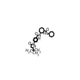 CC(C)(C)C1=NN(c2ccc(C(=O)NC3CCCCC(C(=O)NC4CCCCCC4)C3)cc2)C(=O)C1